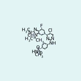 CNS(=O)(=O)c1ccc(Nc2ncc(Cl)c(-c3cc(F)c4nc(N(C)C)n(C(C)C)c4c3)n2)cc1